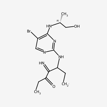 [CH2]CC(Nc1ncc(Br)c(N[C@H](C)CO)n1)C(=N)C(=O)CC